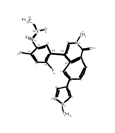 Cn1cc(-c2ccc3c(=O)n(C)cc(-c4cc(N[S+](C)[O-])c(F)cc4F)c3c2)cn1